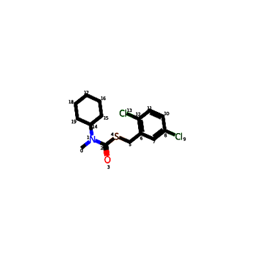 CN(C(=O)SCc1cc(Cl)ccc1Cl)C1CCCCC1